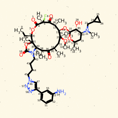 CC[C@H]1OC(=O)[C@@](C)(F)C(=O)[C@H](C)[C@@H](O[C@@H]2O[C@H](C)C[C@H](N(C)CC3CC3)[C@H]2O)[C@@](C)(OC)C[C@@H](C)C(=O)[C@H](C)[C@H]2N(CCCCn3cc(-c4cccc(N)c4)nn3)C(=O)O[C@]12C